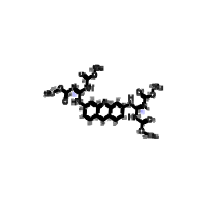 CC(C)(C)OC(=O)/N=C(/NC(=O)OC(C)(C)C)Nc1ccc2cc3ccc(N/C(=N\C(=O)OC(C)(C)C)NC(=O)OC(C)(C)C)cc3nc2c1